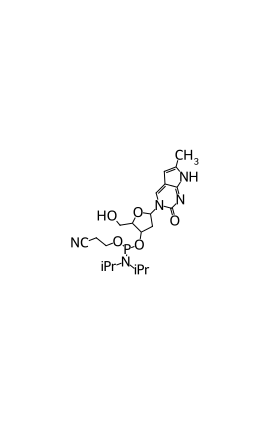 Cc1cc2cn(C3CC(OP(OCCC#N)N(C(C)C)C(C)C)C(CO)O3)c(=O)nc2[nH]1